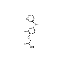 Cc1cc(N(C)c2cccnc2)ccc1OCC(=O)O